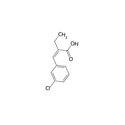 CCC(=Cc1cccc(Cl)c1)C(=O)O